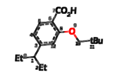 CCC(CC)c1ccc(C(=O)O)c(OCC(C)(C)C)c1